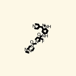 O=C(CN1CCC(CF)(C(=O)Nc2ccc3[nH]nc(-c4ccncc4)c3c2)C1)N1CCn2ccnc2C1